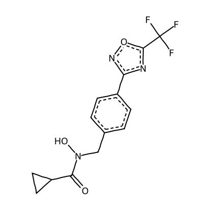 O=C(C1CC1)N(O)Cc1ccc(-c2noc(C(F)(F)F)n2)cc1